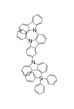 c1ccc(-n2c3ccc(-n4c5ccccc5c5c([Si](c6ccccc6)(c6ccccc6)c6ccccc6)cccc54)cc3c3cccc(-n4c5ccccc5c5ccccc54)c32)cc1